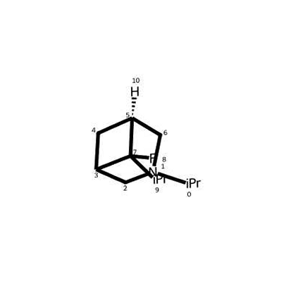 CC(C)N1CC2C[C@@H](C1)C2(F)C(C)C